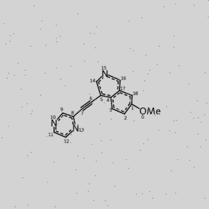 COc1ccc2c(C#Cc3cnccn3)cncc2c1